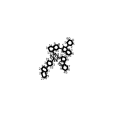 c1ccc(-c2cc(-c3ccc4cccc(-c5nc(-c6ccc(-c7ccc8ccccc8c7)cc6)nc(-c6cccc7c6sc6ccccc67)n5)c4c3)cc3ccccc23)cc1